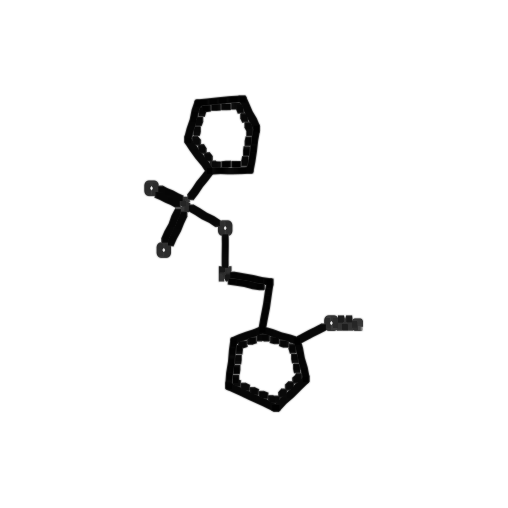 COc1ccccc1C=NOS(=O)(=O)c1ccccc1